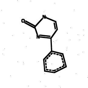 O=C1[N]C=CC(c2ccccc2)=N1